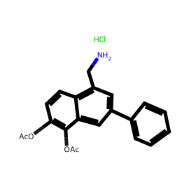 CC(=O)Oc1ccc2c(CN)cc(-c3ccccc3)cc2c1OC(C)=O.Cl